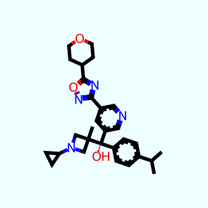 CC(C)c1ccc([C@](O)(c2cncc(-c3noc(C4CCOCC4)n3)c2)C2(C)CN(C3CC3)C2)cc1